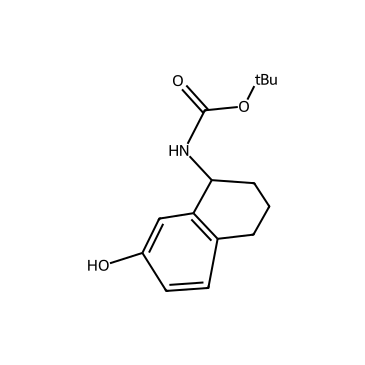 CC(C)(C)OC(=O)NC1CCCc2ccc(O)cc21